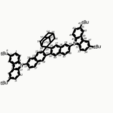 CC(C)(C)c1ccc2c(c1)c1cc(C(C)(C)C)ccc1n2-c1ccc2cc3c(cc2c1)C1(c2cc4cc(-n5c6ccc(C(C)(C)C)cc6c6cc(C(C)(C)C)ccc65)ccc4cc2-3)C2CC3CC(C2)CC1C3